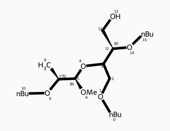 CCCCOCC(O[C@@H](OC)[C@H](C)OCCCC)[C@@H](CO)OCCCC